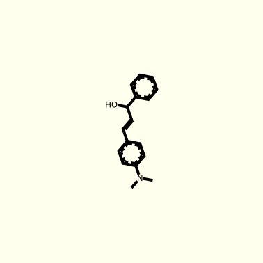 CN(C)c1ccc(C=CC(O)c2ccccc2)cc1